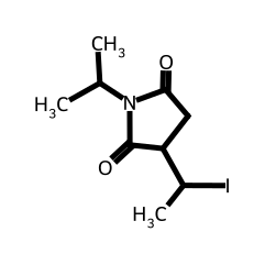 CC(I)C1CC(=O)N(C(C)C)C1=O